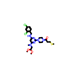 COC(CN(C)c1cc(NCc2ccc(Cl)cc2Cl)nc(N2CCN(C(=O)CCSC)CC2)n1)OC